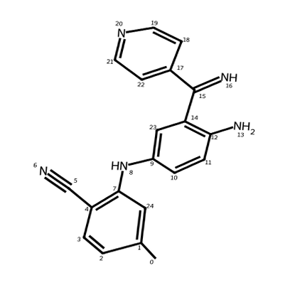 Cc1ccc(C#N)c(Nc2ccc(N)c(C(=N)c3ccncc3)c2)c1